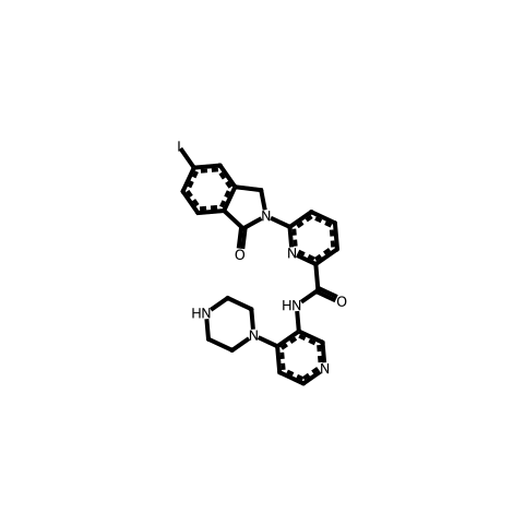 O=C(Nc1cnccc1N1CCNCC1)c1cccc(N2Cc3cc(I)ccc3C2=O)n1